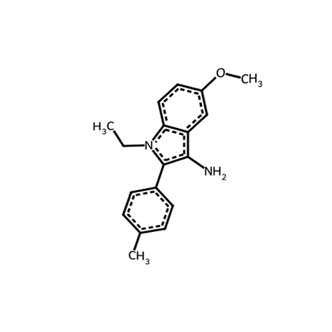 CCn1c(-c2ccc(C)cc2)c(N)c2cc(OC)ccc21